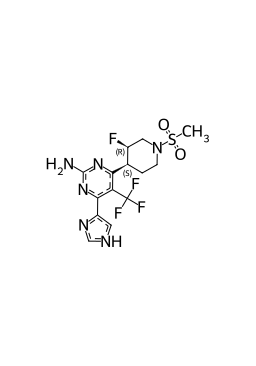 CS(=O)(=O)N1CC[C@@H](c2nc(N)nc(-c3c[nH]cn3)c2C(F)(F)F)[C@@H](F)C1